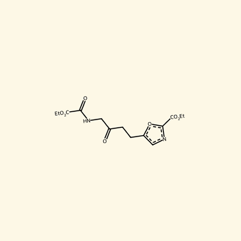 CCOC(=O)C(=O)NCC(=O)CCc1cnc(C(=O)OCC)o1